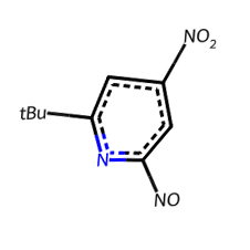 CC(C)(C)c1cc([N+](=O)[O-])cc(N=O)n1